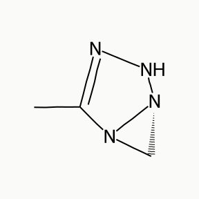 CC1=NN[N@]2CN12